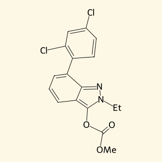 CCn1nc2c(-c3ccc(Cl)cc3Cl)cccc2c1OC(=O)OC